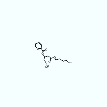 CCCCCCOC(=O)CC(CCO)OC(=O)c1ccccc1